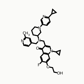 Cc1cc(CN(Cc2cn(C3CC3)c3cc(OCCO)c(F)cc3c2=O)C2CCCN(c3ccc(C4CC4)nc3)C2)ccn1